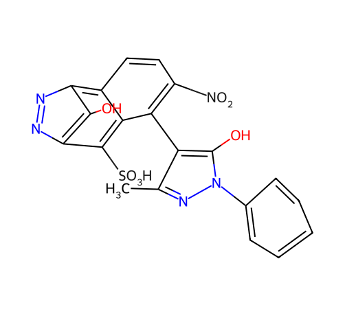 Cc1nn(-c2ccccc2)c(O)c1-c1c([N+](=O)[O-])ccc2c3c(O)c(c(S(=O)(=O)O)c12)N=N3